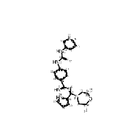 C[C@@H]1CN(/C(=N/C(=N)c2ccc(NC(=S)Nc3cccnc3)cc2)c2ccc[nH]2)C[C@H](C)O1